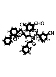 CC1(Cl)C(c2ccccc2)=CC=CC1(COc1cc(OCc2cncc(C#N)c2)c(C=O)cc1Cl)OCCCNC(=O)Cc1ccccn1